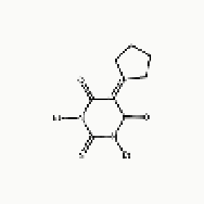 CCN1C(=O)C(=C2CCCC2)C(=O)N(CC)C1=S